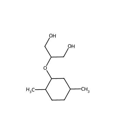 CC1CCC(C)C(OC(CO)CO)C1